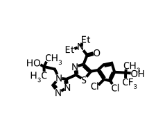 CCN(CC)C(=O)c1nc(-c2nncn2CC(C)(C)O)sc1-c1ccc(C(C)(O)C(F)(F)F)c(Cl)c1Cl